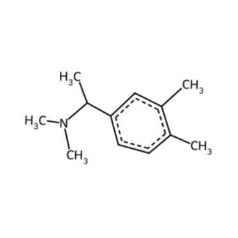 Cc1ccc(C(C)N(C)C)cc1C